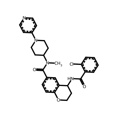 CN(C(=O)c1ccc2c(c1)C(NC(=O)c1ccccc1Cl)CCO2)C1CCN(c2ccncc2)CC1